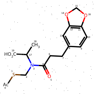 CC(=O)SCN(C(=O)CCc1ccc2c(c1)OCO2)C(C)C(=O)O